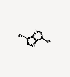 CC(C)c1coc2c(C(C)C)coc12